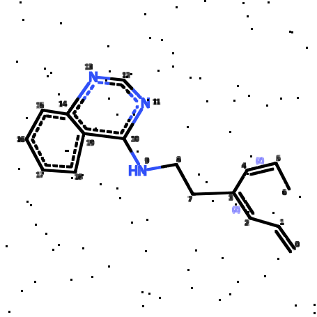 C=C/C=C(\C=C/C)CCNc1ncnc2ccccc12